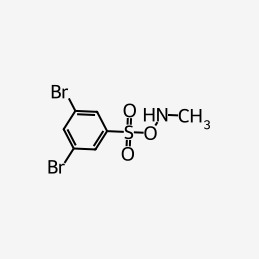 CNOS(=O)(=O)c1cc(Br)cc(Br)c1